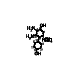 C.Cl.Cl.Nc1c(O)ccc(-c2ccc(O)cc2)c1N